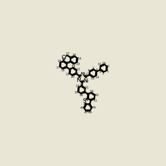 c1ccc(-c2ccc(-c3nc(-c4ccc(-c5cccc6c5-c5ccccc5CO6)cc4)nc(-c4cccc(-c5cccc6c5sc5ccccc56)c4)n3)cc2)cc1